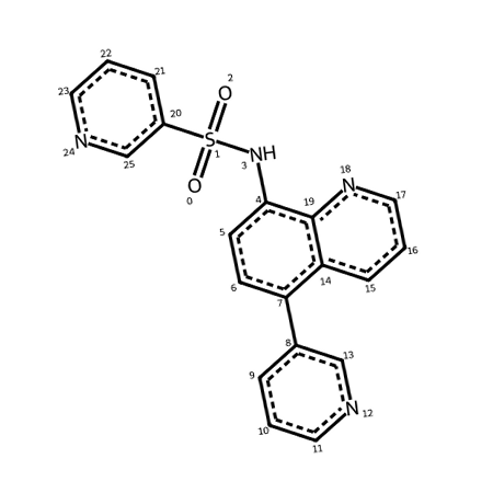 O=S(=O)(Nc1ccc(-c2cccnc2)c2cccnc12)c1cccnc1